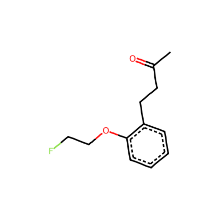 CC(=O)CCc1ccccc1OCCF